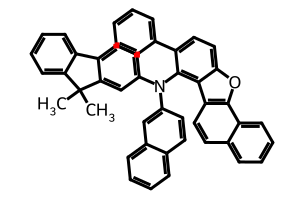 CC1(C)c2ccccc2-c2ccc(N(c3ccc4ccccc4c3)c3c(-c4ccccc4)ccc4oc5c6ccccc6ccc5c34)cc21